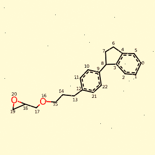 c1ccc2c(c1)CCC2c1ccc(CCCOCC2CO2)cc1